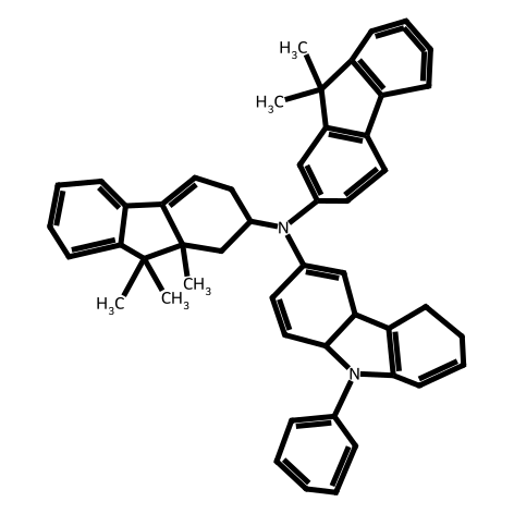 CC1(C)C2=C(C=C=C=C2)c2ccc(N(C3=CC4C5=C(C=CCC5)N(c5ccccc5)C4C=C3)C3CC=C4c5ccccc5C(C)(C)C4(C)C3)cc21